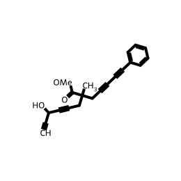 C#CC(O)C#CCC(C)(CC#CC#Cc1ccccc1)C(=O)OC